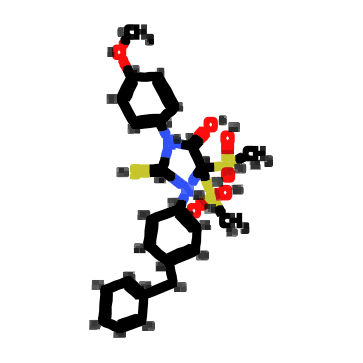 COc1ccc(N2C(=O)C(S(C)(=O)=O)(S(C)(=O)=O)N(c3ccc(Cc4ccccc4)cc3)C2=S)cc1